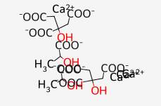 CC(O)C(=O)[O-].CC(O)C(=O)[O-].O=C([O-])CC(O)(CC(=O)[O-])C(=O)[O-].O=C([O-])CC(O)(CC(=O)[O-])C(=O)[O-].[Ca+2].[Ca+2].[Ca+2].[Ca+2]